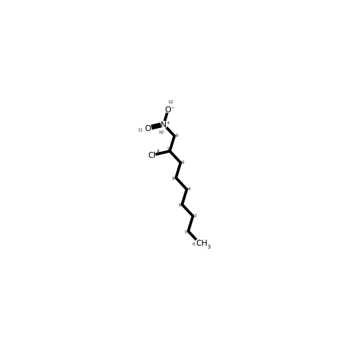 CCCCCCCC(Cl)C[N+](=O)[O-]